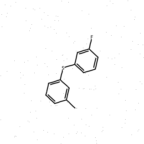 [CH2]c1cccc(Sc2cccc(F)c2)c1